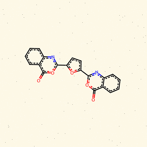 O=c1oc(-c2ccc(-c3nc4ccccc4c(=O)o3)o2)nc2ccccc12